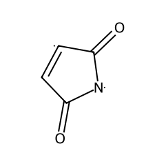 O=C1[C]=CC(=O)[N]1